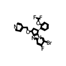 Fc1cc2nc3c(n2cc1Br)[C@@H](c1ccccc1OC(F)F)CC3OCc1ccncc1